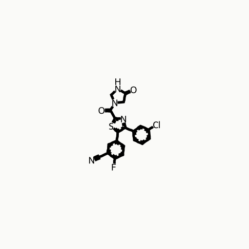 N#Cc1cc(-c2sc(C(=O)N3CNC(=O)C3)nc2-c2cccc(Cl)c2)ccc1F